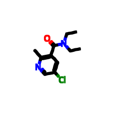 CCN(CC)C(=O)c1cc(Cl)cnc1C